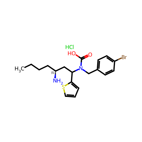 CCCC[C@H](N)CC(c1cccs1)N(Cc1ccc(Br)cc1)C(=O)O.Cl